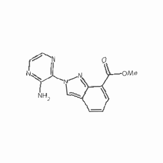 COC(=O)c1cccc2cn(-c3nccnc3N)nc12